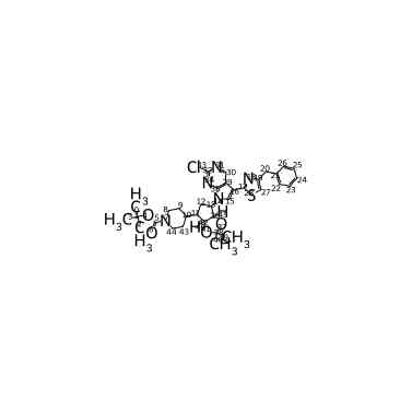 CC(C)(C)OC(=O)N1CCC([C@H]2C[C@@H](n3cc(-c4nc(Cc5ccccc5)cs4)c4cnc(Cl)nc43)[C@@H]3OC(C)(C)O[C@@H]32)CC1